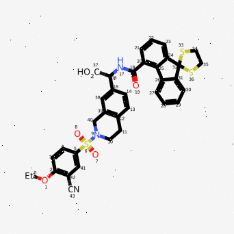 CCOc1ccc(S(=O)(=O)N2CCc3ccc(C(NC(=O)c4cccc5c4-c4ccccc4C54SCCS4)C(=O)O)cc3C2)cc1C#N